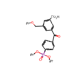 CC(C)OCc1cc(C(=O)O)cc(C(=O)c2ccc(P(=O)(OC(C)C)OC(C)C)cc2)c1